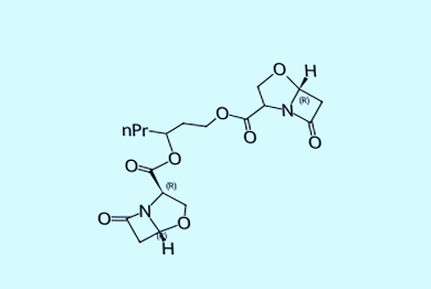 CCCC(CCOC(=O)C1CO[C@@H]2CC(=O)N12)OC(=O)[C@H]1CO[C@@H]2CC(=O)N12